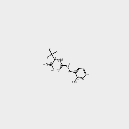 CC(C)(C)C(NC(=O)OCc1ccccc1Cl)C(=O)I